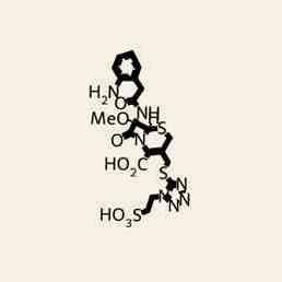 CO[C@@]1(NC(=O)Cc2ccccc2N)C(=O)N2C(C(=O)O)=C(CSc3nnnn3CCS(=O)(=O)O)CS[C@@H]21